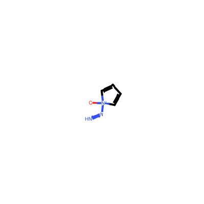 N=N[N+]1([O-])C=CC=C1